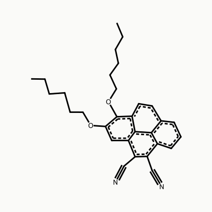 CCCCCCOc1cc2c(C#N)c(C#N)c3cccc4ccc(c1OCCCCCC)c2c43